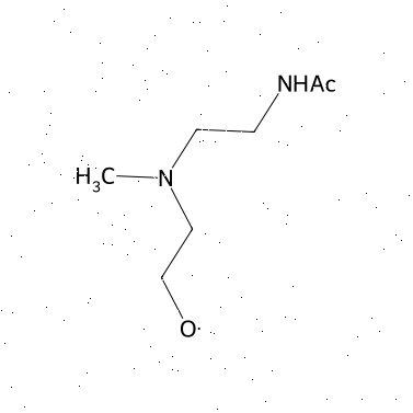 CC(=O)NCCN(C)CC[O]